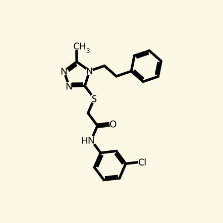 Cc1nnc(SCC(=O)Nc2cccc(Cl)c2)n1CCc1ccccc1